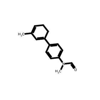 CC1=CC[CH]C(c2ccc(N(C)C=O)cc2)=C1